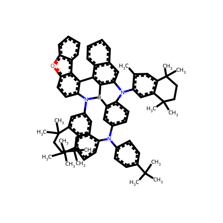 Cc1cc2c(cc1N1c3ccc(N(c4ccc(C(C)(C)C)cc4)c4ccc(C(C)(C)C)cc4)cc3B3c4c1cc1ccccc1c4-c1c(ccc4oc5ccccc5c14)N3c1ccc3c(c1)C(C)(C)CCC3(C)C)C(C)(C)CCC2(C)C